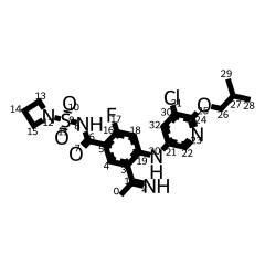 CC(=N)c1cc(C(=O)NS(=O)(=O)N2CCC2)c(F)cc1Nc1cnc(OCC(C)C)c(Cl)c1